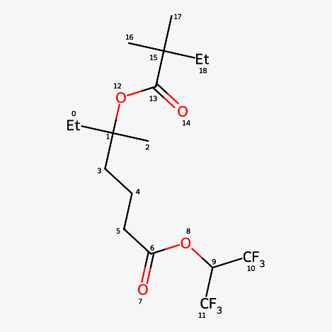 CCC(C)(CCCC(=O)OC(C(F)(F)F)C(F)(F)F)OC(=O)C(C)(C)CC